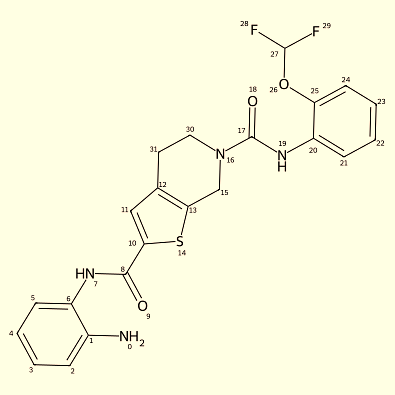 Nc1ccccc1NC(=O)c1cc2c(s1)CN(C(=O)Nc1ccccc1OC(F)F)CC2